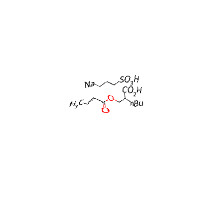 CC=CC(=O)OCC(CCCC)C(=O)O.O=S(=O)(O)CC[CH2][Na]